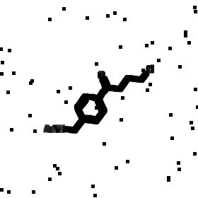 CC(=O)NCc1ccc(C(=O)CCCCl)cc1